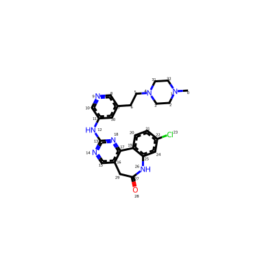 CN1CCN(CCc2cncc(Nc3ncc4c(n3)-c3ccc(Cl)cc3NC(=O)C4)c2)CC1